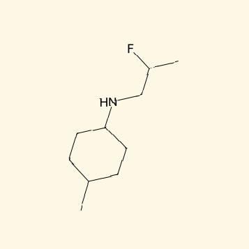 CC(F)CNC1CCC(C)CC1